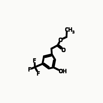 CCOC(=O)Cc1cc(O)cc(C(F)(F)F)c1